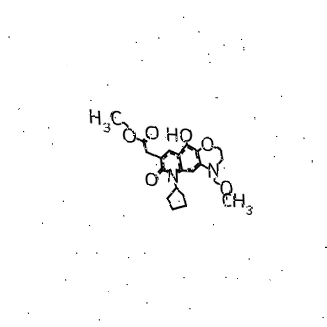 CCOC(=O)Cc1cc2c(O)c3c(cc2n(C2CCCC2)c1=O)N(COC)CCO3